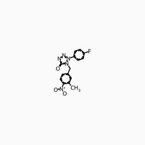 Cc1cc(Cn2c(=O)nnn2-c2ccc(F)cc2)ccc1[N+](=O)[O-]